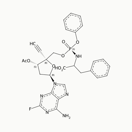 C#C[C@]1(CO[P@@](=O)(NC(Cc2ccccc2)C(=O)O)Oc2ccccc2)O[C@@H](n2cnc3c(N)nc(F)nc32)C[C@@H]1OC(C)=O